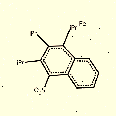 CC(C)c1c(C(C)C)c(S(=O)(=O)O)c2ccccc2c1C(C)C.[Fe]